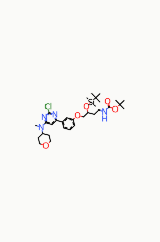 CN(c1cc(-c2cccc(OCC(CCNC(=O)OC(C)(C)C)O[Si](C)(C)C(C)(C)C)c2)nc(Cl)n1)C1CCOCC1